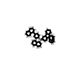 c1ccc2c(c1)-c1cc(N(c3ccc(-c4cccc5ccccc45)cc3)c3cccc4ccccc34)ccc1C21C2CC3CC(C2)CC1C3